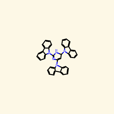 C1=C(n2c3ccccc3c3ccccc32)N=C(n2c3ccccc3c3ccccc32)NC1n1c2ccccc2c2ccccc21